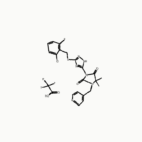 CC1(C)C(=O)N(c2nc(SCc3c(F)cccc3Cl)n[nH]2)C(=O)N1Cc1ccncc1.O=C(O)C(F)(F)F